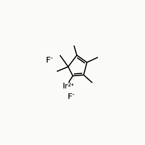 CC1=C(C)C(C)(C)[C]([Ir+2])=C1C.[F-].[F-]